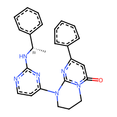 C[C@H](Nc1nccc(N2CCCn3c2nc(-c2ccccc2)cc3=O)n1)c1ccccc1